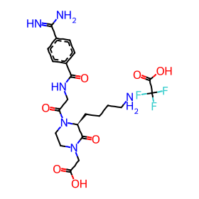 N=C(N)c1ccc(C(=O)NCC(=O)N2CCN(CC(=O)O)C(=O)[C@@H]2CCCCN)cc1.O=C(O)C(F)(F)F